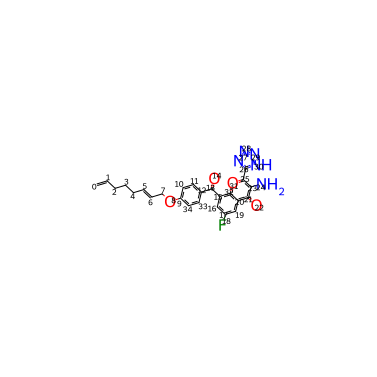 C=CCCC/C=C/COc1ccc(C(=O)c2cc(F)cc3c(=O)c(N)c(-c4nnn[nH]4)oc23)cc1